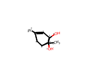 CC(C)C1=CC(O)C(C)(O)CC1